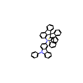 c1ccc(N(c2ccc3c(c2)c2ccccc2n3-c2ccccc2)c2cccc3c2C2(c4ccccc4-3)c3ccccc3-c3c2sc2ccccc32)cc1